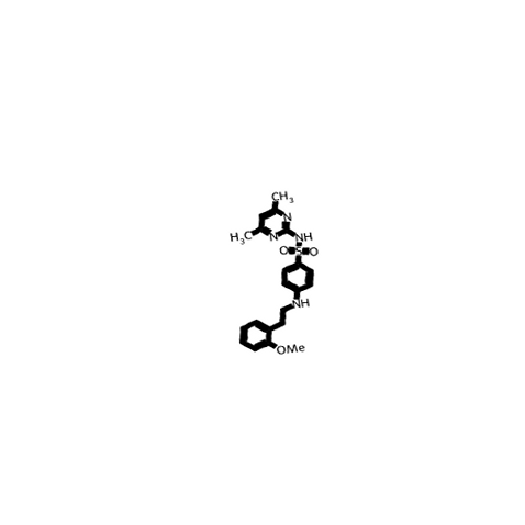 COc1ccccc1CCNc1ccc(S(=O)(=O)Nc2nc(C)cc(C)n2)cc1